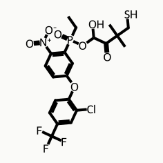 CCP(=O)(OC(O)C(=O)C(C)(C)CS)c1cc(Oc2ccc(C(F)(F)F)cc2Cl)ccc1[N+](=O)[O-]